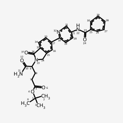 CC(C)(C)OC(=O)CCC(C(N)=O)N1Cc2cc(-c3ccc(NC(=O)c4ccccc4)cn3)ccc2C1=O